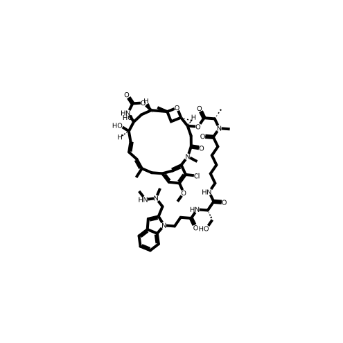 CNN(C)Cc1cc2ccccc2n1CCC(=O)N[C@@H](CO)C(=O)NCCCCCC(=O)N(C)[C@@H](C)C(=O)O[C@H]1CC(=O)N(C)c2cc(cc(OC)c2Cl)C/C(C)=C/C=C/[C@@H](O)[C@@]2(O)C[C@H](OC(=O)N2)C2(C)C[C@@]1(C)O2